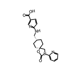 O=C(O)c1ccc(NC[C@H]2CC[C@]3(CC2)CN(c2ccccn2)C(=O)O3)nc1